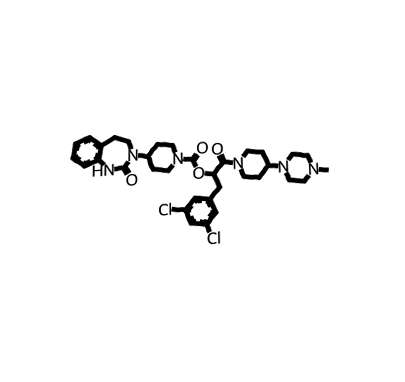 CN1CCN(C2CCN(C(=O)C(Cc3cc(Cl)cc(Cl)c3)OC(=O)N3CCC(N4CCc5ccccc5NC4=O)CC3)CC2)CC1